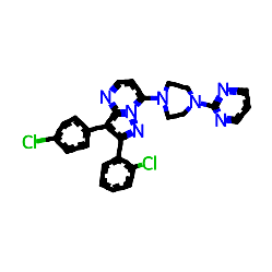 Clc1ccc(-c2c(-c3ccccc3Cl)nn3c(N4CCN(c5ncccn5)CC4)ccnc23)cc1